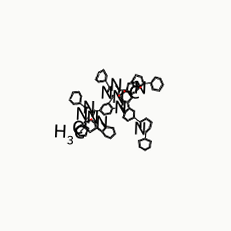 Cc1ccc2c(c1)c1ccccc1n2-c1cc(-n2c3ccc(-c4cccc(-c5ccccc5)n4)cc3c3cc(-c4cccc(-c5ccccc5)n4)ccc32)c(-c2nc(-c3ccccc3)nc(-c3ccccc3)n2)cc1-c1nc(-c2ccccc2)nc(-c2ccccc2)n1